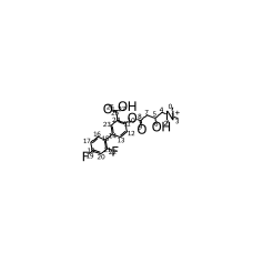 C[N+](C)(C)CC(O)CC(=O)Oc1ccc(-c2ccc(F)cc2F)cc1C(=O)O